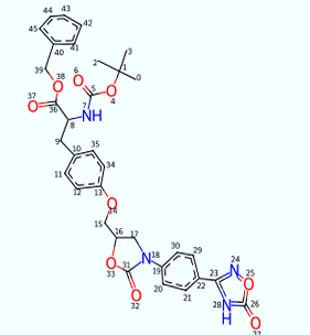 CC(C)(C)OC(=O)NC(Cc1ccc(OCC2CN(c3ccc(-c4noc(=O)[nH]4)cc3)C(=O)O2)cc1)C(=O)OCc1ccccc1